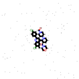 Cc1cc2c(C3[C@H](C(=O)N4CCOCC4)CCCN3C3CCN(C=O)CC3)cc(-c3ccc(Cl)cc3)nc2cc1Cl